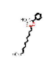 CCCCCCCC/C=C/CCCCCCCC(=O)O[C@H](C(=O)O)c1ccccc1